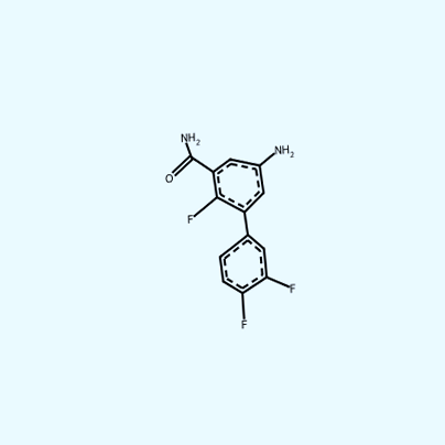 NC(=O)c1cc(N)cc(-c2ccc(F)c(F)c2)c1F